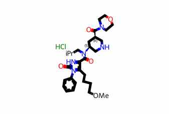 COCCCCc1c(C(=O)N(CC(C)C)[C@@H]2CNC[C@H](C(=O)N3CCOCC3)C2)[nH]c(=O)n1-c1ccccc1.Cl